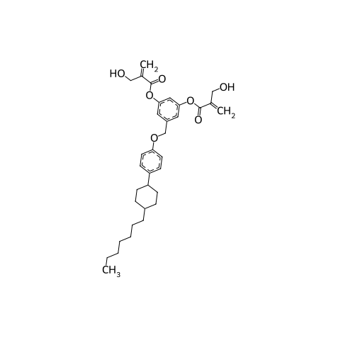 C=C(CO)C(=O)Oc1cc(COc2ccc(C3CCC(CCCCCCC)CC3)cc2)cc(OC(=O)C(=C)CO)c1